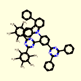 Bc1c(B)c(B)c(-c2nc(-c3cc(-c4nc(-c5ccccc5)nc(-c5ccccc5)n4)ccc3-n3c4ccccc4c4c(-c5ccccc5)cccc43)nc(-c3c(B)c(B)c(B)c(B)c3B)n2)c(B)c1B